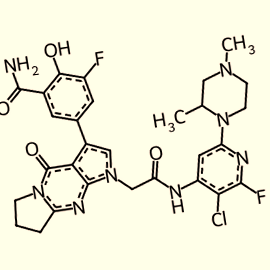 CC1CN(C)CCN1c1cc(NC(=O)Cn2cc(-c3cc(F)c(O)c(C(N)=O)c3)c3c(=O)n4c(nc32)CCC4)c(Cl)c(F)n1